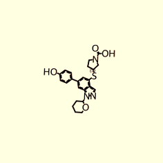 O=C(O)N1CC[C@H](Sc2cc(-c3ccc(O)cc3)cc3c2cnn3C2CCCCO2)C1